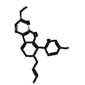 CC=CCC1CC=c2c(oc3nc(CC)ccc23)=C1c1ccc(C)cn1